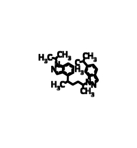 CC(C)c1ccc2cnn(C(C)CCC(C)c3cccc4c3cnn4C(C)C)c2c1